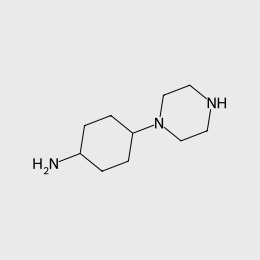 NC1CCC(N2CCNCC2)CC1